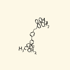 C=C(C)C(=C)Oc1ccc(-c2ccc(CCCOC(=O)C(=C)C)cc2)cc1